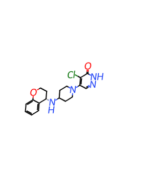 O=c1[nH]ncc(N2CCC(N[C@H]3CCOc4ccccc43)CC2)c1Cl